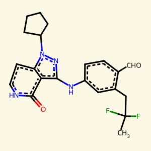 CC(F)(F)Cc1cc(Nc2nn(C3CCCC3)c3cc[nH]c(=O)c23)ccc1C=O